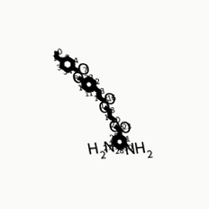 CCC1CCC(C(=O)Oc2ccc(/C=C/C(=O)OCCCOC(=O)c3cc(N)cc(N)c3)cc2)CC1